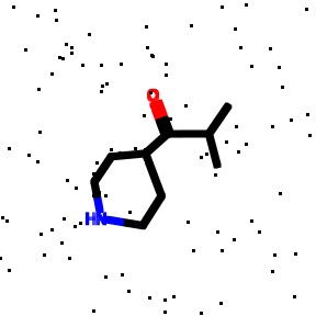 CC(C)C(=O)[C]1CCNCC1